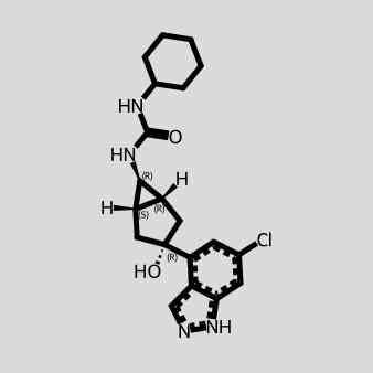 O=C(NC1CCCCC1)N[C@H]1[C@@H]2C[C@@](O)(c3cc(Cl)cc4[nH]ncc34)C[C@@H]21